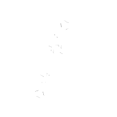 CCCN1C(=O)[C@H](CCCCNC(=O)OCc2ccccc2)NC(=O)C12CCN(Cc1ccc(F)cc1)CC2